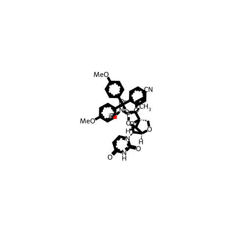 COc1ccc(C(O[C@@H](C)[C@]23CO[C@@H]([C@H](n4ccc(=O)[nH]c4=O)O2)[C@@H]3OP(OCCC#N)N(C(C)C)C(C)C)(c2ccccc2)c2ccc(OC)cc2)cc1